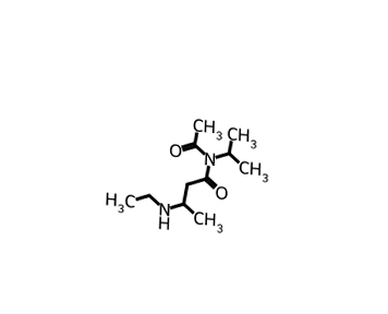 CCNC(C)CC(=O)N(C(C)=O)C(C)C